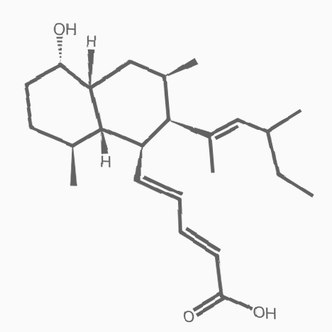 CCC(C)/C=C(\C)[C@H]1[C@@H](/C=C/C=C/C(=O)O)[C@H]2[C@@H](C[C@H]1C)[C@@H](O)CC[C@@H]2C